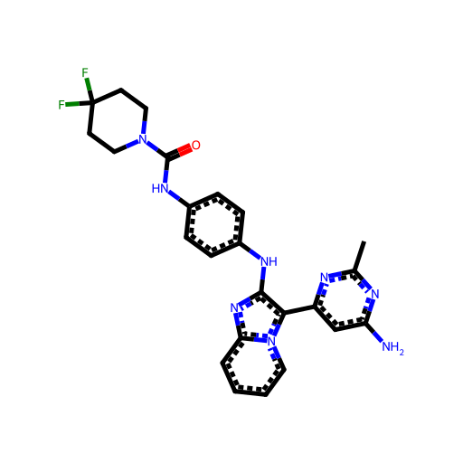 Cc1nc(N)cc(-c2c(Nc3ccc(NC(=O)N4CCC(F)(F)CC4)cc3)nc3ccccn23)n1